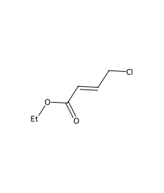 CCOC(=O)C=CCCl